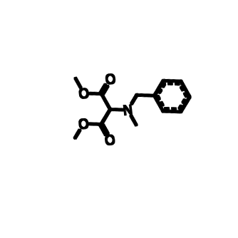 COC(=O)C(C(=O)OC)N(C)Cc1ccccc1